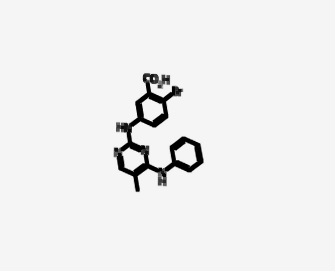 Cc1cnc(Nc2ccc(Br)c(C(=O)O)c2)nc1Nc1ccccc1